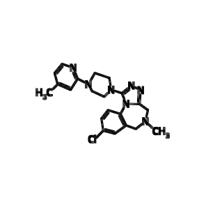 Cc1ccnc(N2CCN(c3nnc4n3-c3ccc(Cl)cc3CN(C)C4)CC2)c1